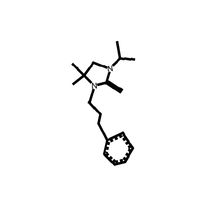 C=C1N(C(C)C)CC(C)(C)N1CCCc1ccccc1